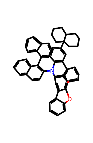 c1ccc(-c2cc(C34CCCCC3CCCC4)ccc2N(c2ccc3oc4ccccc4c3c2)c2ccc3ccccc3c2-c2cccc3ccccc23)cc1